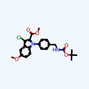 COC(=O)c1c(Cl)c2cc(OC)ccc2n1-c1ccc(CNC(=O)OC(C)(C)C)cc1